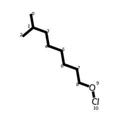 CC(C)CCCCCCOCl